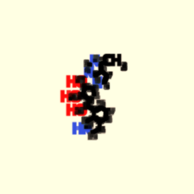 Cc1ncnc2c1ccn2C1C[C@H]([C@@H](O)c2cccc3c2CNCC3)[C@@H](O)[C@H]1O